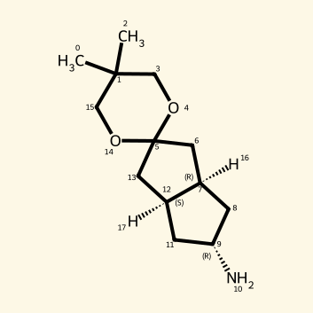 CC1(C)COC2(C[C@H]3C[C@H](N)C[C@H]3C2)OC1